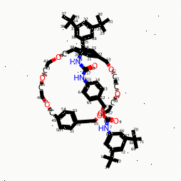 CC(C)(C)c1cc(NC(=O)OCc2ccc(NC(=O)Nc3cc4cc(-c5cc(C(C)(C)C)cc(C(C)(C)C)c5)c3COCCOCCOCc3ccc(cc3)COCCOCCOC4)cc2)cc(C(C)(C)C)c1